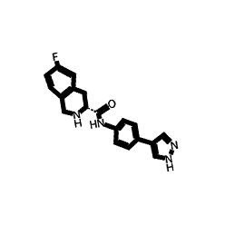 O=C(Nc1ccc(-c2cn[nH]c2)cc1)[C@H]1Cc2cc(F)ccc2CN1